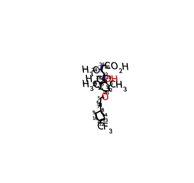 CC1=C[C@@H](OCC#Cc2ccc(C(F)(F)F)cc2)CC(C)(C)[C@@]1(O)/C=C/C(C)=C\C(=O)O